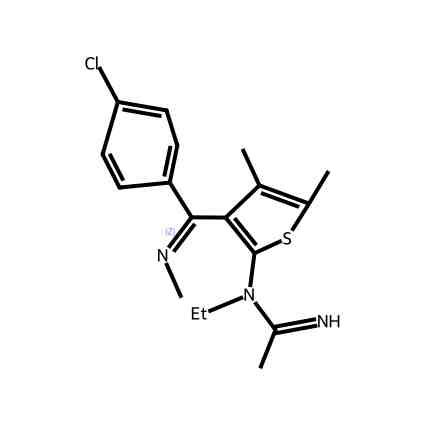 CCN(C(C)=N)c1sc(C)c(C)c1/C(=N\C)c1ccc(Cl)cc1